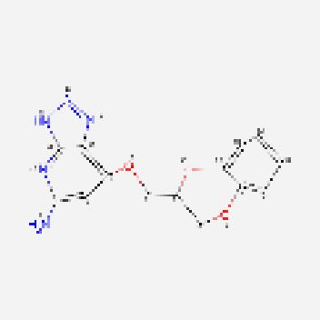 Nc1cc(OCC2COc3ccccc3O2)c2nn[nH]c2n1